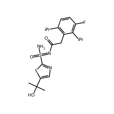 CC(C)c1ccc(F)c(C(C)C)c1CC(=O)N=S(N)(=O)c1ncc(C(C)(C)O)s1